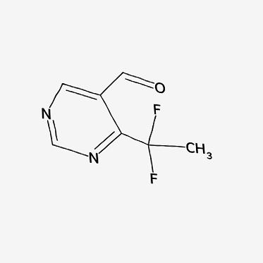 CC(F)(F)c1ncncc1C=O